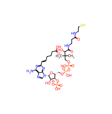 CC(C)(COP(=O)(O)OP(=O)(O)OC[C@H]1O[C@@H](n2cnc3c(N)nc(C=CCCCC(=O)O)nc32)[C@H](O)[C@@H]1OP(=O)(O)O)C(O)C(=O)NCCC(=O)NCCS